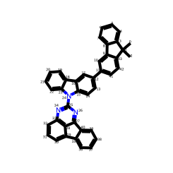 CC1(C)c2ccccc2-c2cc(-c3ccc4c(c3)c3ccccc3n4-c3nc4c5c(cccc5n3)-c3ccccc3-4)ccc21